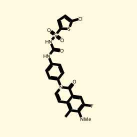 CNc1c(F)cc2c(=O)n(-c3ccc(NC(=O)NS(=O)(=O)c4ccc(Cl)s4)cc3)ccc2c1C